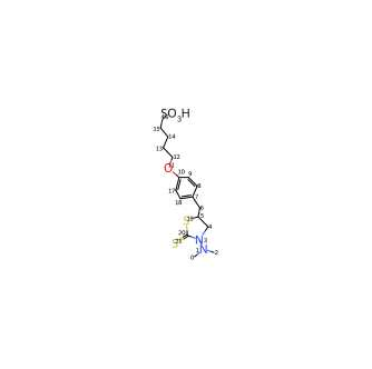 CN(C)N1CC(Cc2ccc(OCCCCS(=O)(=O)O)cc2)SC1=S